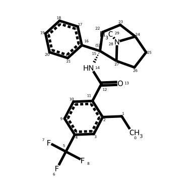 CCc1cc(C(F)(F)F)ccc1C(=O)N[C@]1(c2ccccc2)CCC2CCC1N2C